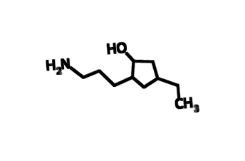 CCC1CC(O)C(CCCN)C1